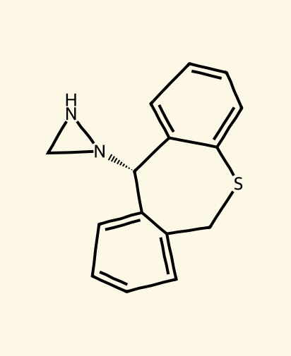 c1ccc2c(c1)CSc1ccccc1[C@H]2N1CN1